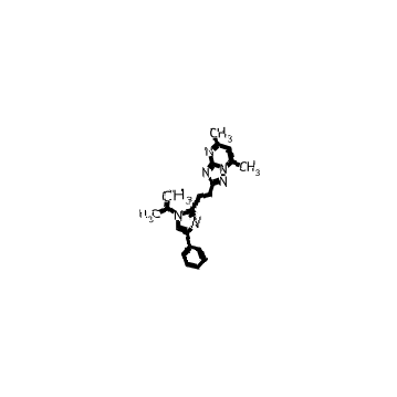 Cc1cc(C)n2nc(CCc3nc(-c4ccccc4)cn3C(C)C)nc2n1